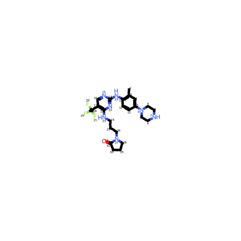 Cc1cc(N2CCNCC2)ccc1Nc1ncc(C(F)(F)F)c(NCCCN2CCCC2=O)n1